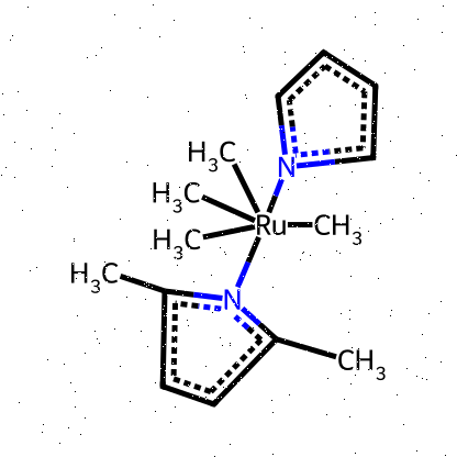 Cc1ccc(C)[n]1[Ru]([CH3])([CH3])([CH3])([CH3])[n]1cccc1